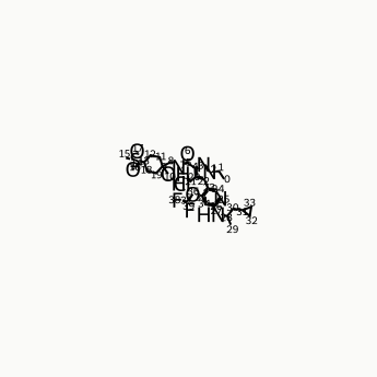 CCn1nc(C(=O)NCC2(O)CCC(S(C)(=O)=O)CC2)c(Cl)c1-c1cnc(NC(C)CC2CC2)cc1OC(F)F